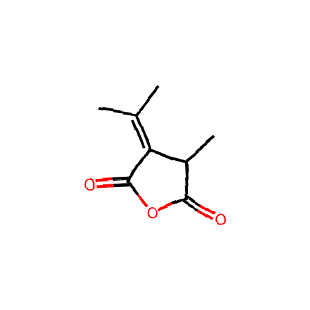 CC(C)=C1C(=O)OC(=O)C1C